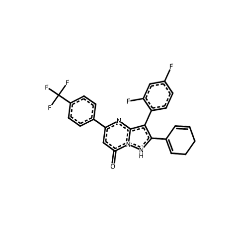 O=c1cc(-c2ccc(C(F)(F)F)cc2)nc2c(-c3ccc(F)cc3F)c(C3=CCCC=C3)[nH]n12